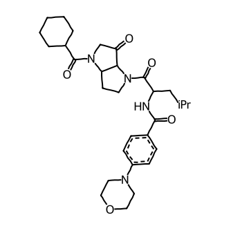 CC(C)CC(NC(=O)c1ccc(N2CCOCC2)cc1)C(=O)N1CCC2C1C(=O)CN2C(=O)C1CCCCC1